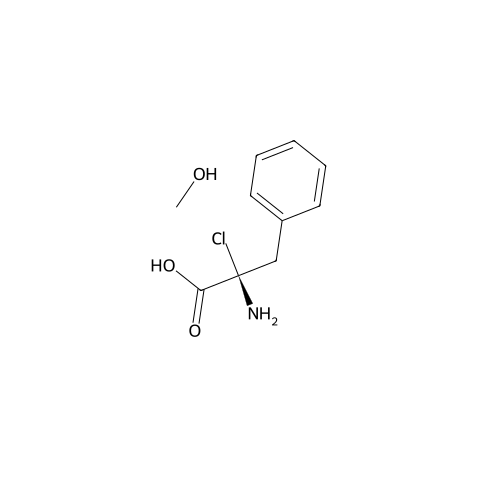 CO.N[C@@](Cl)(Cc1ccccc1)C(=O)O